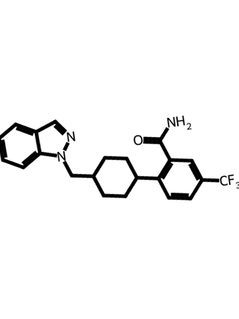 NC(=O)c1cc(C(F)(F)F)ccc1C1CCC(Cn2ncc3ccccc32)CC1